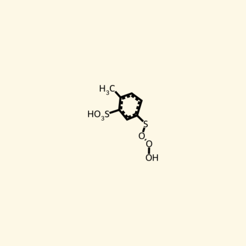 Cc1ccc(SOOO)cc1S(=O)(=O)O